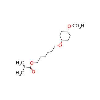 C=C(C)C(=O)OCCCCCCO[C@H]1CC[C@H](OC(=O)O)CC1